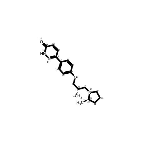 C[C@H](COc1ccc(-c2ccc(=O)[nH]n2)cc1)CN1CCC[C@H]1C